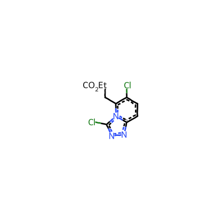 CCOC(=O)Cc1c(Cl)ccc2nnc(Cl)n12